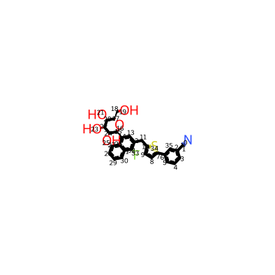 N#Cc1cccc(-c2ccc(Cc3cc([C@@H]4O[C@H](CO)[C@@H](O)[C@H](O)[C@H]4O)c4ccccc4c3F)s2)c1